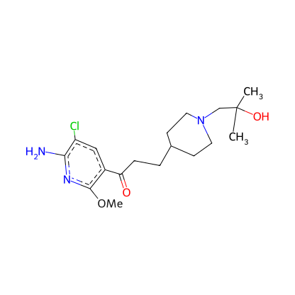 COc1nc(N)c(Cl)cc1C(=O)CCC1CCN(CC(C)(C)O)CC1